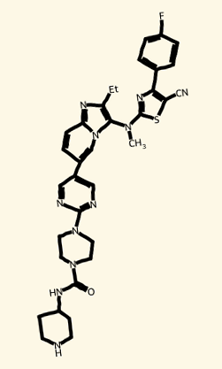 CCc1nc2ccc(-c3cnc(N4CCN(C(=O)NC5CCNCC5)CC4)nc3)cn2c1N(C)c1nc(-c2ccc(F)cc2)c(C#N)s1